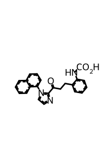 O=C(O)Nc1ccccc1CCC(=O)c1nccn1-c1cccc2ccccc12